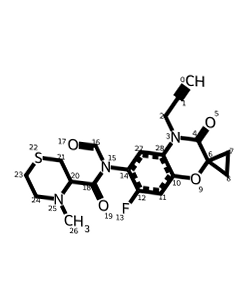 C#CCN1C(=O)C2(CC2)Oc2cc(F)c(N(C=O)C(=O)C3CSCCN3C)cc21